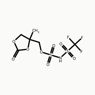 CC1(COS(=O)(=O)NS(=O)(=O)C(F)(F)F)COC(=O)O1